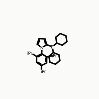 CC(C)c1cc(C(C)C)c(-n2cccc2P(C2CCCCC2)C2CCCCC2)c(C(C)C)c1